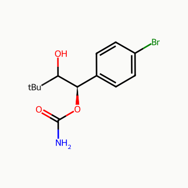 CC(C)(C)C(O)[C@H](OC(N)=O)c1ccc(Br)cc1